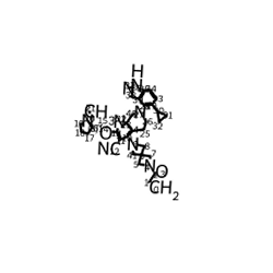 C=CC(=O)N1CC2(C1)CN(c1c(C#N)c(OC[C@@H]3CCCN3C)nc3c1CCN(c1c(C4CC4)ccc4[nH]ncc14)C3)C2